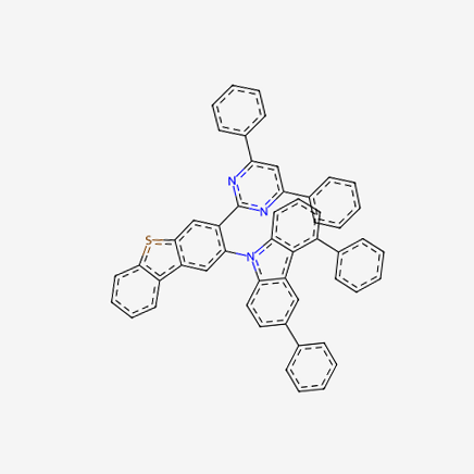 c1ccc(-c2ccc3c(c2)c2c(-c4ccccc4)cccc2n3-c2cc3c(cc2-c2nc(-c4ccccc4)cc(-c4ccccc4)n2)sc2ccccc23)cc1